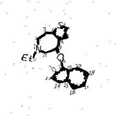 CCN1CCc2sccc2C(Oc2cccc3ccccc23)C1